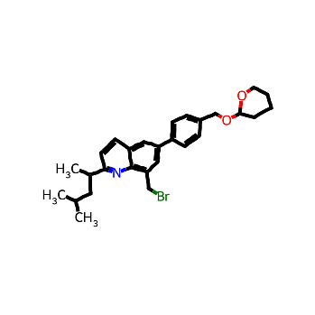 CC(C)CC(C)c1ccc2cc(-c3ccc(COC4CCCCO4)cc3)cc(CBr)c2n1